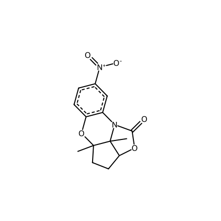 CC12CCC3OC(=O)N(c4cc([N+](=O)[O-])ccc4O1)C32C